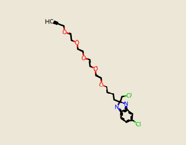 C#CCOCCOCCOCCOCCOCCCCC1(CCl)N=c2ccc(Cl)cc2=N1